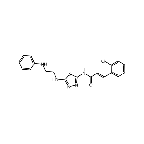 O=C(/C=C/c1ccccc1Cl)Nc1nnc(NCCNc2ccccc2)s1